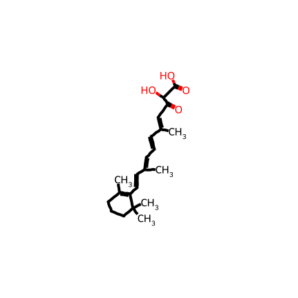 CC1=C(/C=C/C(C)=C/C=C/C(C)=C/C(=O)C(O)C(=O)O)C(C)(C)CCC1